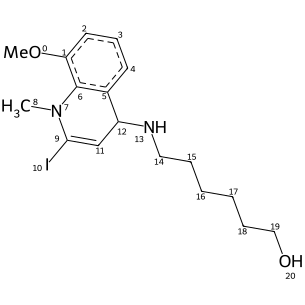 COc1cccc2c1N(C)C(I)=CC2NCCCCCCO